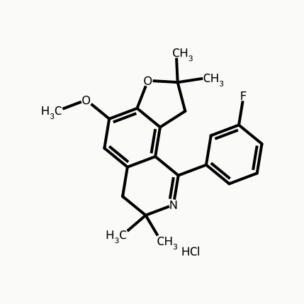 COc1cc2c(c3c1OC(C)(C)C3)C(c1cccc(F)c1)=NC(C)(C)C2.Cl